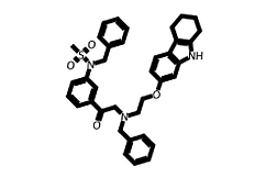 CS(=O)(=O)N(Cc1ccccc1)c1cccc(C(=O)CN(CCOc2ccc3c4c([nH]c3c2)CCCC4)Cc2ccccc2)c1